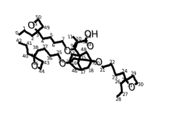 CCCC1(CCCCOC(=C(C)C(=O)O)C23CC4CC(OCCCCC5(CCC)CCO5)(CC(OCCCCC5(CCC)CCO5)(C4)C2)C3)CCO1